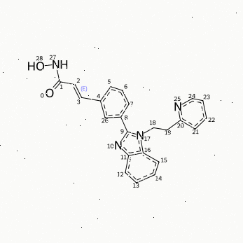 O=C(/C=C/c1cccc(-c2nc3ccccc3n2CCc2ccccn2)c1)NO